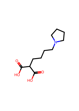 O=C(O)C(CCCCN1CCCC1)C(=O)O